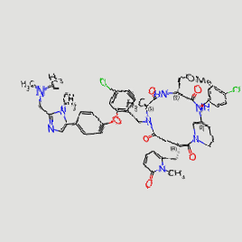 COC[C@@H]1NC(=O)[C@H](C)N(Cc2ccc(Cl)cc2Oc2ccc(-c3cnc(CN(C)C)n3C)cc2)C(=O)C[C@@H](Cc2cccc(=O)n2C)C(=O)N2CCC[C@@](Cc3ccc(Cl)cc3)(C2)NC1=O